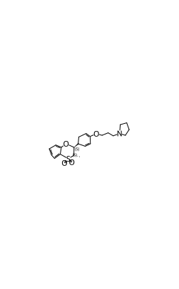 C[C@H]1[C@H](C2C=CC(OCCCN3CCCC3)=CC2)Oc2ccccc2S1(=O)=O